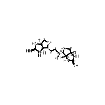 N=C1N[C@H]2[C@H](CS[C@H]2CCB(I)[C@@H]2SC[C@@H]3NC(=N)N[C@@H]32)N1